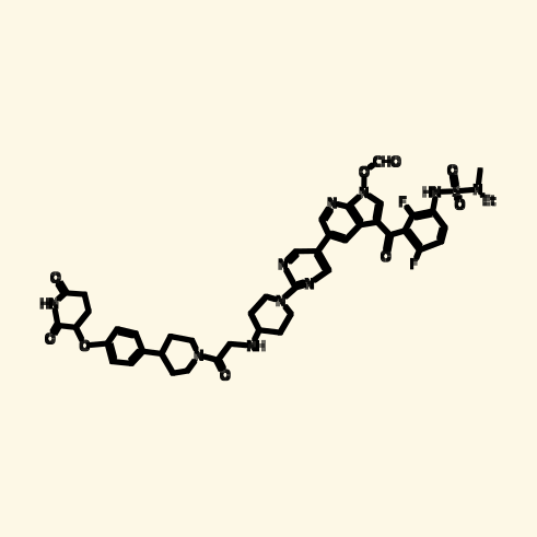 CCN(C)S(=O)(=O)Nc1ccc(F)c(C(=O)c2cn(OC=O)c3ncc(-c4cnc(N5CCC(NCC(=O)N6CCC(c7ccc(OC8CCC(=O)NC8=O)cc7)CC6)CC5)nc4)cc23)c1F